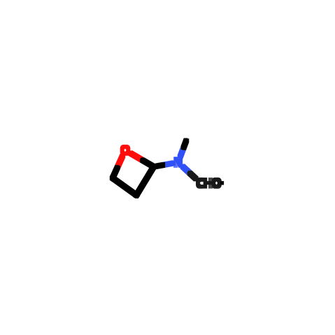 CN([C]=O)C1CCO1